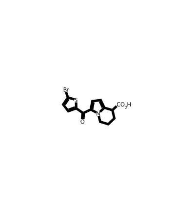 O=C(c1ccc(Br)s1)c1ccc2n1CCCC2C(=O)O